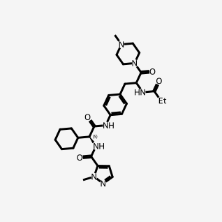 CCC(=O)NC(Cc1ccc(NC(=O)[C@@H](NC(=O)c2ccnn2C)C2CCCCC2)cc1)C(=O)N1CCN(C)CC1